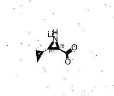 O=C([O-])[C@@H]1N[C@H]1C1CC1.[Li+]